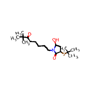 CC(C)(C)SC1CC(O)N(CCCCCC(=O)C(C)(C)C)C1=O